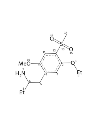 CCOc1cc(CC(N)CC)c(OC)cc1S(C)(=O)=O